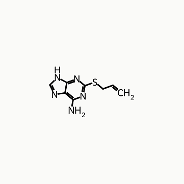 C=CCSc1nc(N)c2nc[nH]c2n1